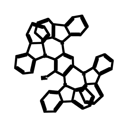 N#Cc1c(-n2c3ccccc3c3ccccc32)c(-n2c3c(c4ccccc42)C=CCC3)cc(-n2c3ccccc3c3ccccc32)c1-n1c2ccccc2c2ccccc21